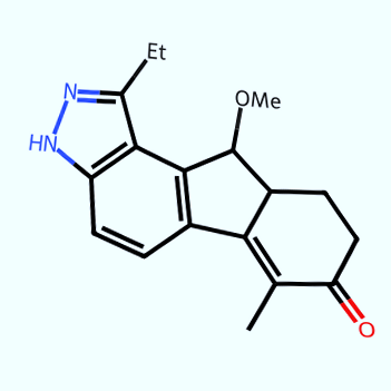 CCc1n[nH]c2ccc3c(c12)C(OC)C1CCC(=O)C(C)=C31